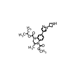 COC(=O)N1c2ccc(-c3cnn(C4CNC4)c3)cc2N(C(=O)OC(C)C)C[C@@H]1C